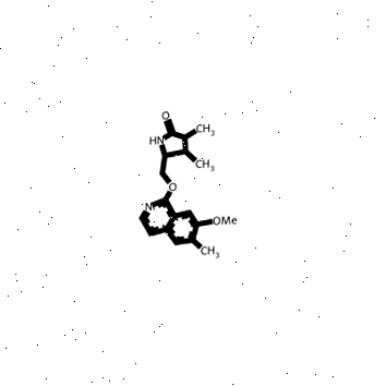 COc1cc2c(OCC3NC(=O)C(C)C3C)nccc2cc1C